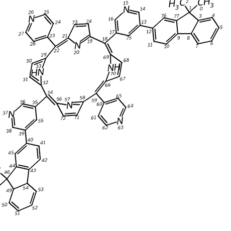 CC1(C)c2ccccc2-c2ccc(-c3cncc(-c4c5nc(c(-c6ccncc6)c6ccc([nH]6)c(-c6cncc(-c7ccc8c(c7)C(C)(C)C7C=CC=CC87)c6)c6nc(c(-c7ccncc7)c7ccc4[nH]7)C=C6)C=C5)c3)cc21